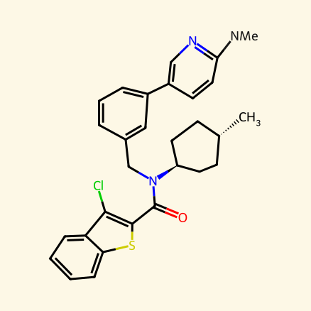 CNc1ccc(-c2cccc(CN(C(=O)c3sc4ccccc4c3Cl)[C@H]3CC[C@H](C)CC3)c2)cn1